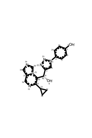 Oc1ccc(-n2cc([C@H](O)c3c(C4CC4)ncc4cncn34)nn2)cc1